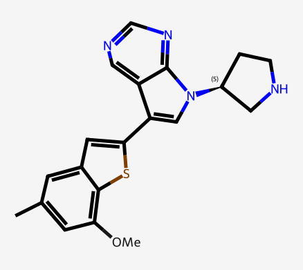 COc1cc(C)cc2cc(-c3cn([C@H]4CCNC4)c4ncncc34)sc12